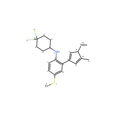 CCSc1ccc(NC2CCC(F)(F)CC2)c(C2=CC(NC)C(C)=C2)c1